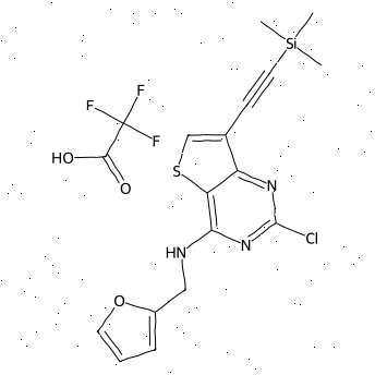 C[Si](C)(C)C#Cc1csc2c(NCc3ccco3)nc(Cl)nc12.O=C(O)C(F)(F)F